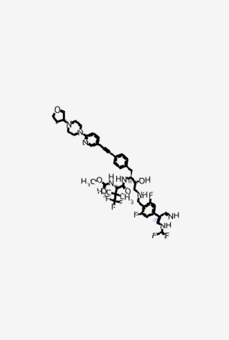 COC(=O)N[C@H](C(=O)N[C@@H](Cc1ccc(C#Cc2ccc(N3CCN(C4CCOC4)CC3)nc2)cc1)[C@@H](O)CNCc1c(F)cc(/C(C=N)=C/NC(F)F)cc1F)C(C)(C)C(F)(F)F